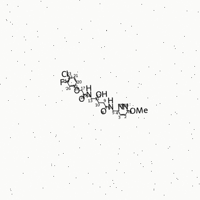 COc1ccc(CNC(=O)CCC(O)CNC(=O)COc2ccc(Cl)c(F)c2)nn1